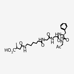 CC(=O)CNC(=O)[C@H](Cc1ccccc1)NC(=O)CNC(=O)CNC(=O)CCCCCNC(=O)CC(I)C(=O)O